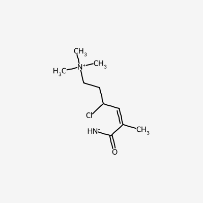 CC(=CC(Cl)CC[N+](C)(C)C)C([NH-])=O